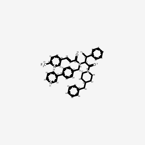 O=C(C(C(I)c1ccccc1)N(Cc1ccc(-c2cccnc2)cc1)C(=O)C=Cc1ccc(C(F)(F)F)nc1)N1CCC(Cc2ccccc2)CC1